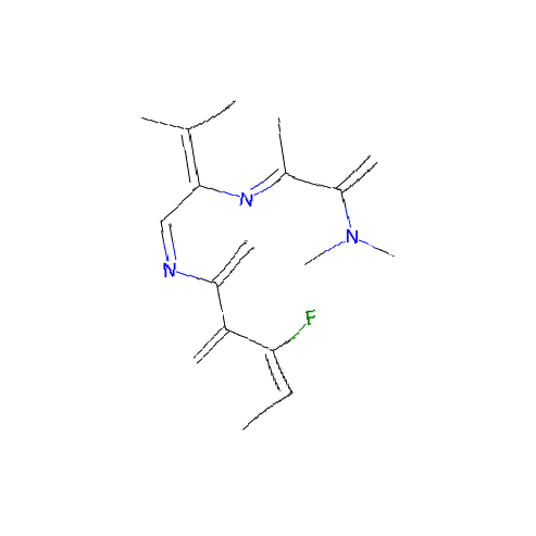 C=C(/N=C\C(/N=C(\C)C(=C)N(C)C)=C(C)C)C(=C)/C(F)=C\C